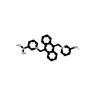 Bc1ccc[n+](Cc2c3ccccc3c(C[n+]3cccc(B(O)O)c3)c3ccccc23)c1